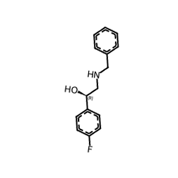 O[C@@H](CNCc1ccccc1)c1ccc(F)cc1